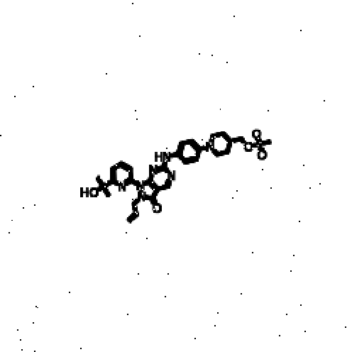 C=CCn1c(=O)c2cnc(Nc3ccc(N4CCC(COS(C)(=O)=O)CC4)cc3)nc2n1-c1cccc(C(C)(C)O)n1